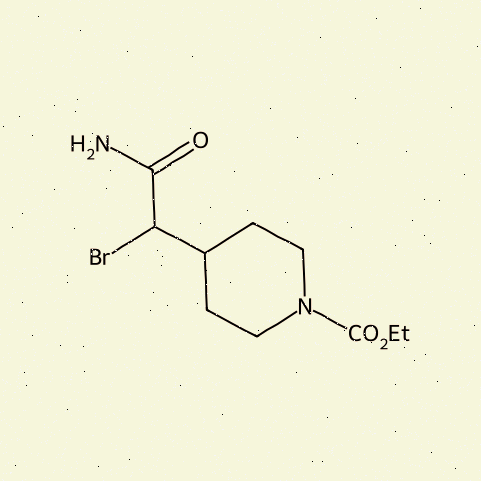 CCOC(=O)N1CCC(C(Br)C(N)=O)CC1